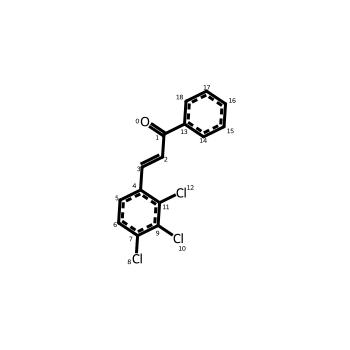 O=C(C=Cc1ccc(Cl)c(Cl)c1Cl)c1ccccc1